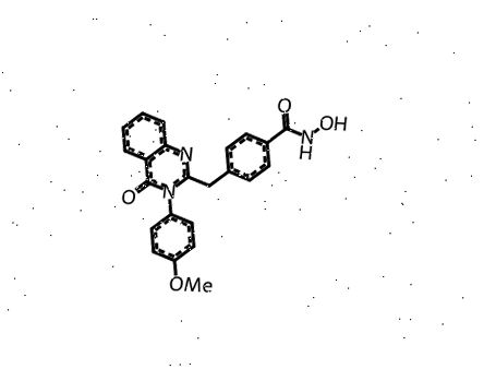 COc1ccc(-n2c(Cc3ccc(C(=O)NO)cc3)nc3ccccc3c2=O)cc1